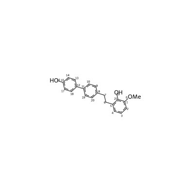 COc1cccc(CCc2ccc(-c3ccc(O)cc3)cc2)c1O